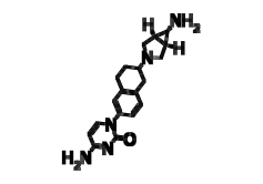 Nc1ccn(-c2ccc3c(c2)CCC(N2C[C@@H]4[C@@H](N)[C@@H]4C2)C3)c(=O)n1